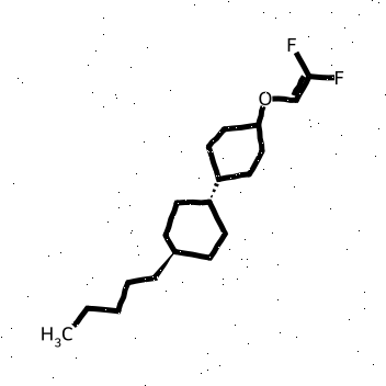 CCCCC[C@H]1CC[C@H](C2CCC(OC=C(F)F)CC2)CC1